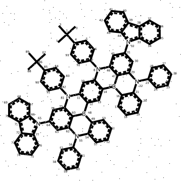 CC(C)(C)c1ccc(N2c3cc4c(cc3B3c5ccccc5N(c5ccccc5)c5cc(-n6c7ccccc7c7ccccc76)cc2c53)B2c3ccccc3N(c3ccccc3)c3cc(-n5c6ccccc6c6ccccc65)cc(c32)N4c2ccc(C(C)(C)C)cc2)cc1